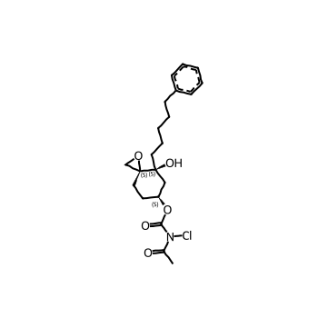 CC(=O)N(Cl)C(=O)O[C@H]1CC[C@]2(CO2)[C@](O)(CCCCCc2ccccc2)C1